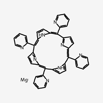 C1=Cc2nc1c(-c1ccccn1)c1ccc([nH]1)c(-c1ccccn1)c1nc(c(-c3ccccn3)c3ccc([nH]3)c2-c2ccccn2)C=C1.[Mg]